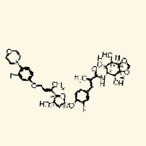 CC(=Cc1ccc(O[C@H]2C[C@H](O)[C@@H](C(C)=CCOc3ccc(N4CCOCC4)c(F)c3)O2)c(F)c1)C(=O)N[C@@H]1[C@H](O)[C@@H](O)[C@H]2OCO[C@H]2[C@@H]1O